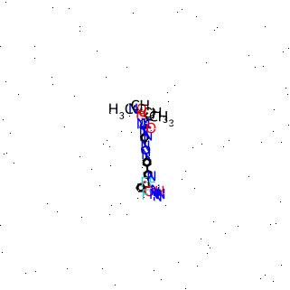 CCC(C(C)OC(=O)CN(C)C)n1ncn(-c2ccc(N3CCN(c4ccc(-c5ccc(C(F)(F)[C@@](O)(Cn6cnnn6)c6ccccc6F)nc5)cc4)CC3)cn2)c1=O